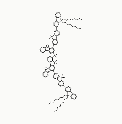 CCCCCCCCC1(CCCCCCCC)c2ccccc2-c2ccc(-c3ccc4c(c3)C(C)(C)c3cc(-c5cc6c(c7c5oc5ccccc57)-c5ccc7c(c5C6(C)C)C(C)(C)c5cc(-c6ccc8c(c6)C(C)(C)c6cc(-c9ccc%10c(c9)C(CCCCCCCC)(CCCCCCCC)c9ccccc9-%10)ccc6-8)c6c(oc8ccccc86)c5-7)ccc3-4)cc21